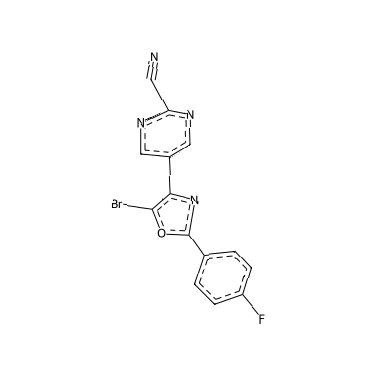 N#Cc1ncc(-c2nc(-c3ccc(F)cc3)oc2Br)cn1